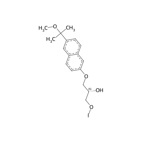 COC(C)(C)c1ccc2cc(OC[C@H](O)COI)ccc2c1